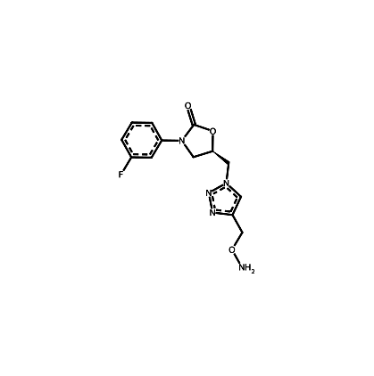 NOCc1cn(C[C@H]2CN(c3cccc(F)c3)C(=O)O2)nn1